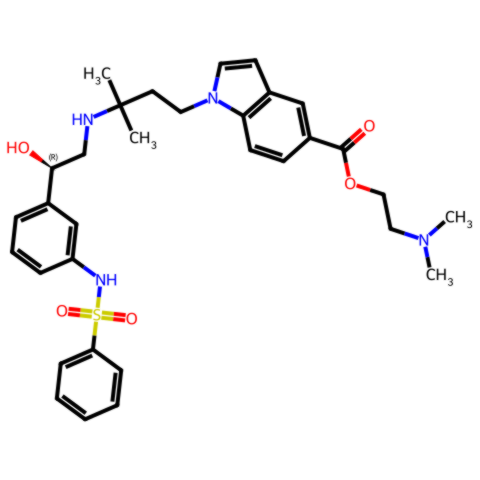 CN(C)CCOC(=O)c1ccc2c(ccn2CCC(C)(C)NC[C@H](O)c2cccc(NS(=O)(=O)c3ccccc3)c2)c1